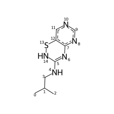 CC(C)CNC1=Nc2ncncc2SN1